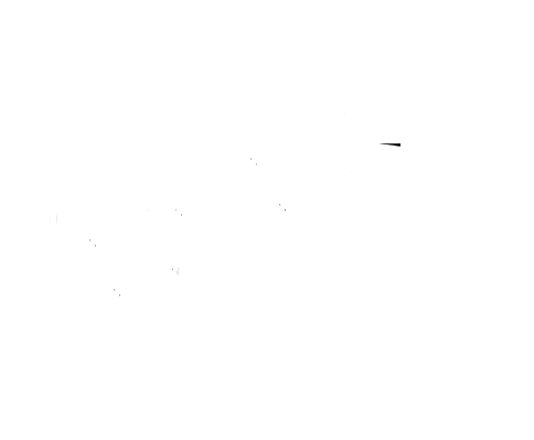 CN1C(C(F)F)=NC2N=CN(Cc3nc([C@@H]4CO[C@@H](c5ccc(Cl)cc5)C4)no3)C(=O)C21